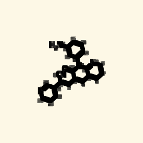 N#CC(=Cc1cc2cccnc2n(-c2cccc(N)c2)c1=O)c1cccnc1